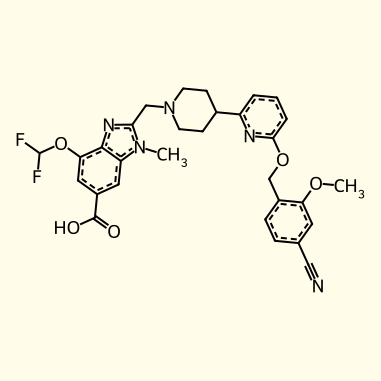 COc1cc(C#N)ccc1COc1cccc(C2CCN(Cc3nc4c(OC(F)F)cc(C(=O)O)cc4n3C)CC2)n1